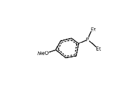 CCP(CC)c1ccc(OC)cc1